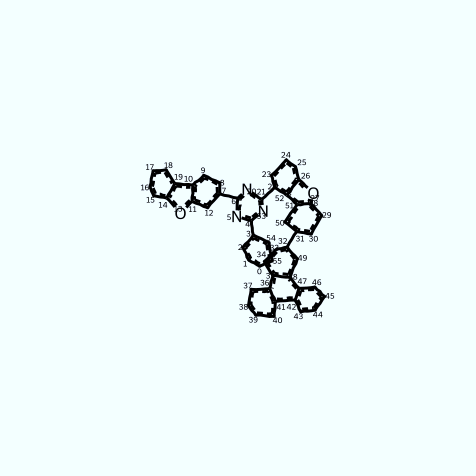 c1ccc(-c2nc(-c3ccc4c(c3)oc3ccccc34)nc(-c3cccc4oc5ccc(-c6ccc7c8ccccc8c8ccccc8c7c6)cc5c34)n2)cc1